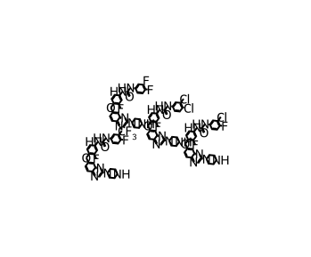 O=C(Nc1ccc(F)c(F)c1)Nc1ccc(Oc2ccc3ncc(N4CCNCC4)nc3c2)c(F)c1.O=C(Nc1ccc(Oc2ccc3ncc(N4CCNCC4)nc3c2)c(F)c1)Nc1ccc(Cl)c(Cl)c1.O=C(Nc1ccc(Oc2ccc3ncc(N4CCNCC4)nc3c2)c(F)c1)Nc1ccc(F)c(C(F)(F)F)c1.O=C(Nc1ccc(Oc2ccc3ncc(N4CCNCC4)nc3c2)c(F)c1)Nc1ccc(F)c(Cl)c1